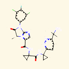 C[C@H]1C(=O)N(c2cc(Cl)c(F)c(Cl)c2)c2ncc(C(=O)NC3(C(=O)NC4(c5ccc(C(C)(C)N)nn5)CC4)CC3)n21